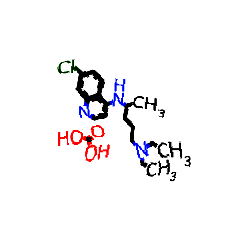 CCN(CC)CCCC(C)Nc1ccnc2cc(Cl)ccc12.O=C(O)O